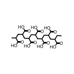 CCC(CC(CC(CC(CC(CC(CC(C)C(=O)O)C(=O)O)C(=O)O)C(=O)O)C(=O)O)C(=O)O)C(=O)O